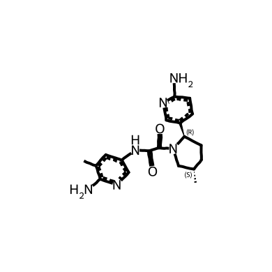 Cc1cc(NC(=O)C(=O)N2C[C@@H](C)CC[C@@H]2c2ccc(N)nc2)cnc1N